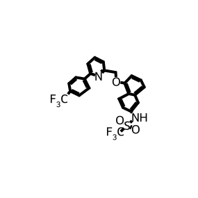 O=S(=O)(Nc1ccc2c(OCc3cccc(-c4ccc(C(F)(F)F)cc4)n3)cccc2c1)C(F)(F)F